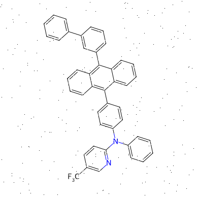 FC(F)(F)c1ccc(N(c2ccccc2)c2ccc(-c3c4ccccc4c(-c4cccc(-c5ccccc5)c4)c4ccccc34)cc2)nc1